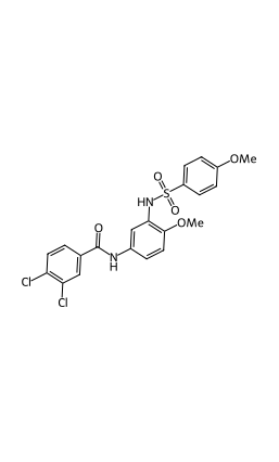 COc1ccc(S(=O)(=O)Nc2cc(NC(=O)c3ccc(Cl)c(Cl)c3)ccc2OC)cc1